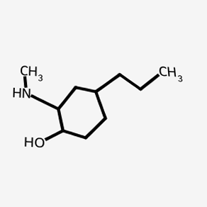 CCCC1CCC(O)C(NC)C1